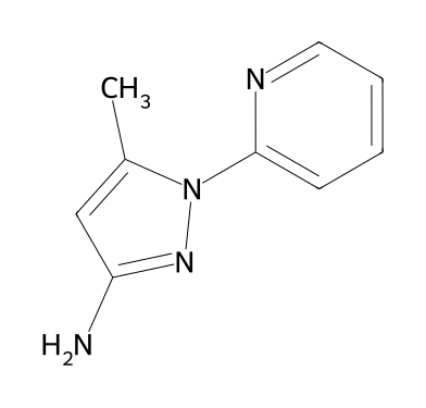 Cc1cc(N)nn1-c1ccccn1